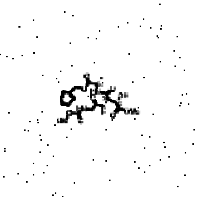 COC(=O)[C@@H](O)[C@H](NC(=O)CNC(=O)OC(C)(C)C)C(=O)N[C@@H](C)C(=O)OCc1ccccc1